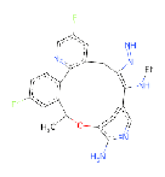 CCN/C1=C(\N=N)Cc2cc(F)cnc2-c2ccc(F)cc2C(C)Oc2cc1cnc2N